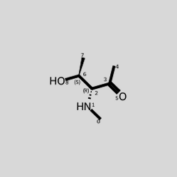 CN[C@@H](C(C)=O)[C@H](C)O